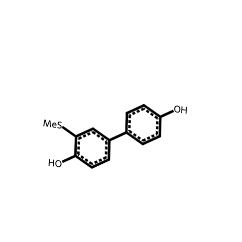 CSc1cc(-c2ccc(O)cc2)ccc1O